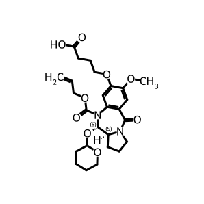 C=CCOC(=O)N1c2cc(OCCCC(=O)O)c(OC)cc2C(=O)N2CCC[C@H]2[C@@H]1OC1CCCCO1